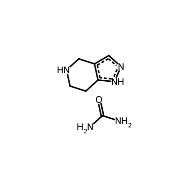 NC(N)=O.c1n[nH]c2c1CNCC2